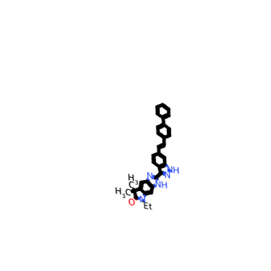 CCN1C(=O)C(C)(C)c2cc3nc(-c4n[nH]c5cc(C=Cc6ccc(-c7ccccc7)cc6)ccc45)[nH]c3cc21